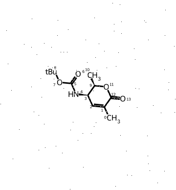 CC1=C[C@@H](NC(=O)OC(C)(C)C)[C@@H](C)OC1=O